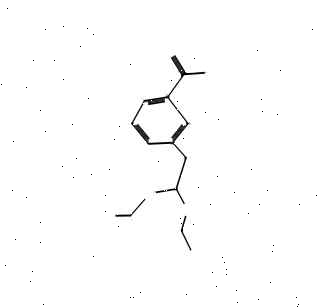 CCOC(Cc1cccc(C(=O)O)c1)OCC